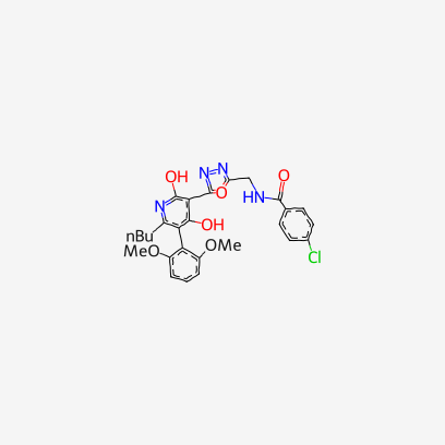 CCCCc1nc(O)c(-c2nnc(CNC(=O)c3ccc(Cl)cc3)o2)c(O)c1-c1c(OC)cccc1OC